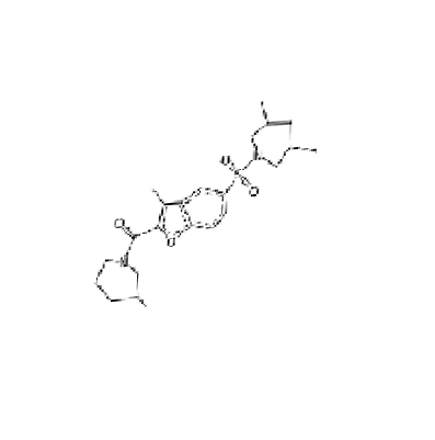 Cc1c(C(=O)N2CCCC(C)C2)oc2ccc(S(=O)(=O)N3CC(C)CC(C)C3)cc12